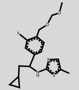 COCOCc1ccc(C(CC2CC2)Nc2ncc(C)s2)cc1F